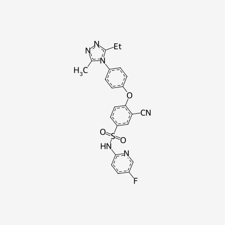 CCc1nnc(C)n1-c1ccc(Oc2ccc(S(=O)(=O)Nc3ccc(F)cn3)cc2C#N)cc1